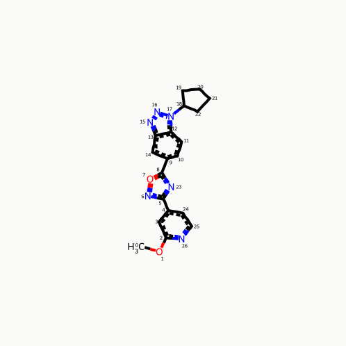 COc1cc(-c2noc(-c3ccc4c(c3)nnn4C3CCCC3)n2)ccn1